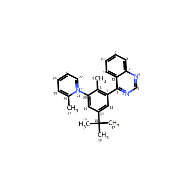 Cc1c(-c2ncnc3ccccc23)cc(C(C)(C)C)cc1-[n+]1ccccc1C